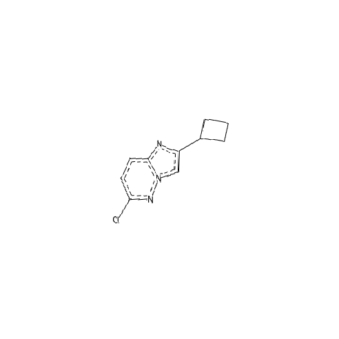 Clc1ccc2nc(C3CCC3)cn2n1